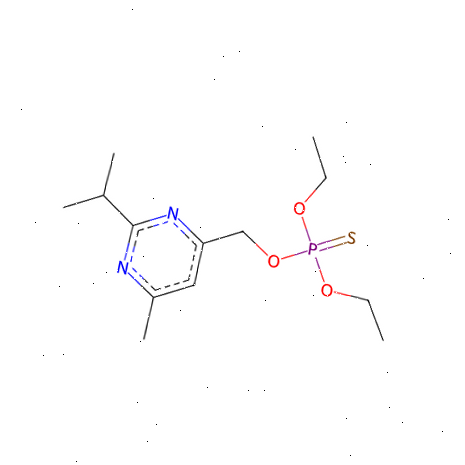 CCOP(=S)(OCC)OCc1cc(C)nc(C(C)C)n1